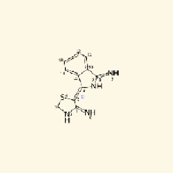 N=C1NCS/C1=C1/NC(=N)c2ccccc21